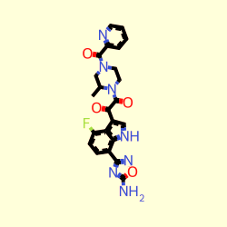 CC1CN(C(=O)c2ccccn2)CCN1C(=O)C(=O)c1c[nH]c2c(-c3noc(N)n3)ccc(F)c12